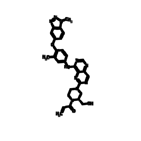 C=CC(=O)N1CCN(c2ncc3ncnc(Nc4ccc(Oc5ccc6c(c5)nnn6C)c(C)c4)c3n2)C[C@H]1CO